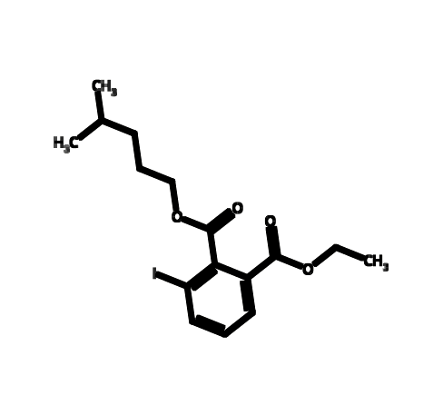 CCOC(=O)c1cccc(I)c1C(=O)OCCCC(C)C